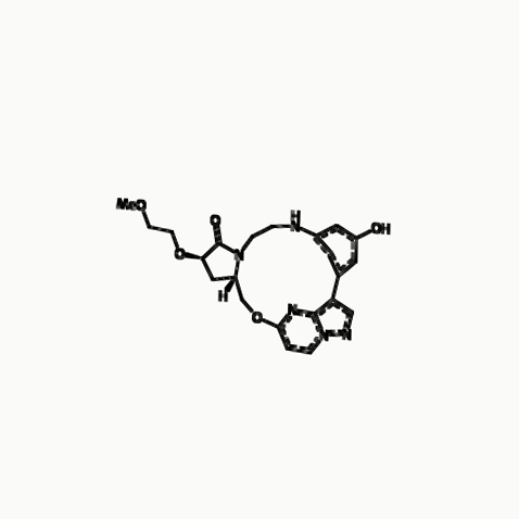 COCCO[C@@H]1C[C@H]2COc3ccn4ncc(c4n3)-c3cc(O)cc(c3)NCCN2C1=O